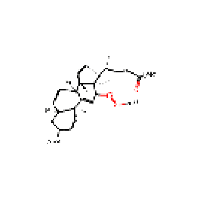 COC(=O)CC[C@@H](C)[C@H]1CC[C@H]2[C@@H]3CC[C@@H]4C[C@H](OC(C)=O)CC[C@]4(C)C3=CC(OOC(C)(C)C)[C@]12C